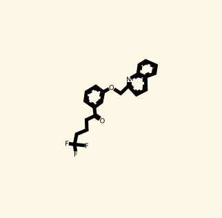 O=C(CCCC(F)(F)F)c1cccc(OCc2ccc3ccccc3n2)c1